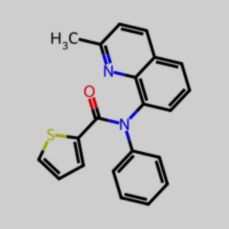 Cc1ccc2cccc(N(C(=O)c3cccs3)c3ccccc3)c2n1